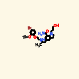 C[C@H](Cc1cc2c(c(C(N)=O)c1)N(CCCO)CC2)NCCOc1ccc(Br)cc1OC(C)(C)C